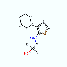 CCC(C)(O)CNc1sccc1C1CCCCC1